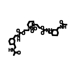 CC(=O)NCC1CCCC(CNC(=O)OCCN2CCCN(CCOC(=O)NCC3CCCC(CNC(C)=O)C3)S2(=O)=O)C1